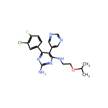 CC(C)OCCNc1nc(N)nc(-c2ccc(F)c(Cl)c2)c1-c1cncnc1